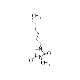 CCCCCCCN1CC(=O)N(C)C1=O